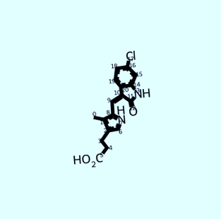 Cc1c(CCC(=O)O)c[nH]c1C=C1C(=O)Nc2cc(Cl)ccc21